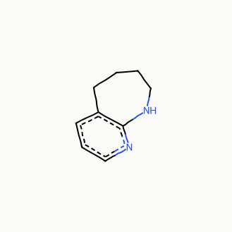 c1cnc2c(c1)CCCCN2